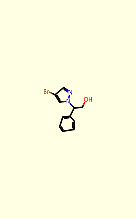 OCC(c1ccccc1)n1cc(Br)cn1